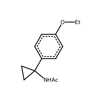 CCOc1ccc(C2(NC(C)=O)CC2)cc1